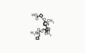 Cc1nc(-c2nnn(C)c2COC(=O)N(C)CC2CCC2)ccc1OC[C@H]1CC[C@@H]1C(=O)O